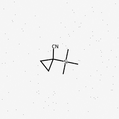 C[Si](C)(C)C1(C#N)CC1